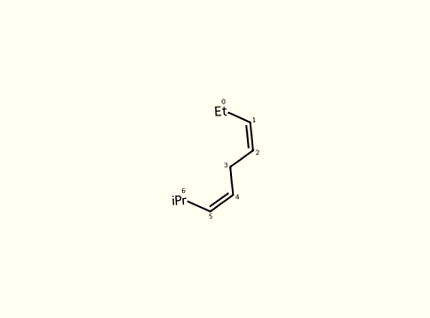 CC/C=C\C/C=C\C(C)C